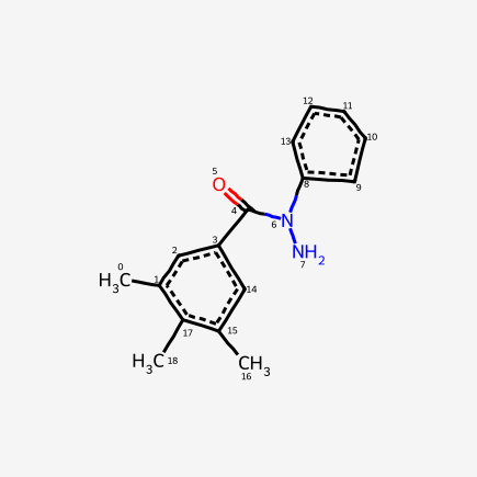 Cc1cc(C(=O)N(N)c2ccccc2)cc(C)c1C